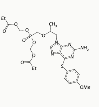 CCC(=O)OCOP(=O)(COC(C)Cn1cnc2c(Sc3ccc(OC)cc3)nc(N)nc21)OCOC(=O)CC